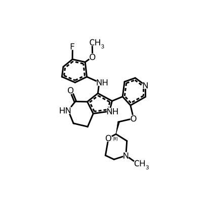 COc1c(F)cccc1Nc1c(-c2ccncc2OC[C@H]2CN(C)CCO2)[nH]c2c1C(=O)NCC2